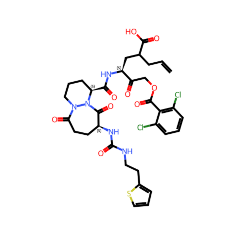 C=CCC(C[C@H](NC(=O)[C@@H]1CCCN2C(=O)CC[C@H](NC(=O)NCCc3cccs3)C(=O)N12)C(=O)COC(=O)c1c(Cl)cccc1Cl)C(=O)O